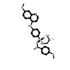 COc1ccc([C@@H](C)N=[S@](=O)(NC[C@@H](C)O)c2ccc(Nc3ccnc4cc(OC)ccc34)cc2)cc1